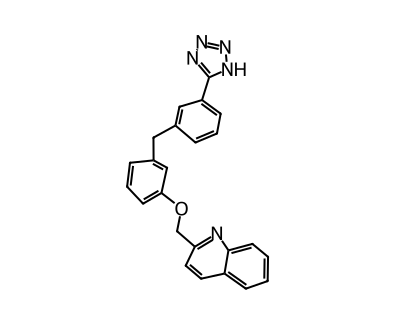 c1cc(Cc2cccc(-c3nnn[nH]3)c2)cc(OCc2ccc3ccccc3n2)c1